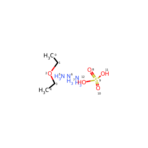 CCOCC.N.N.N.O=S(=O)(O)O